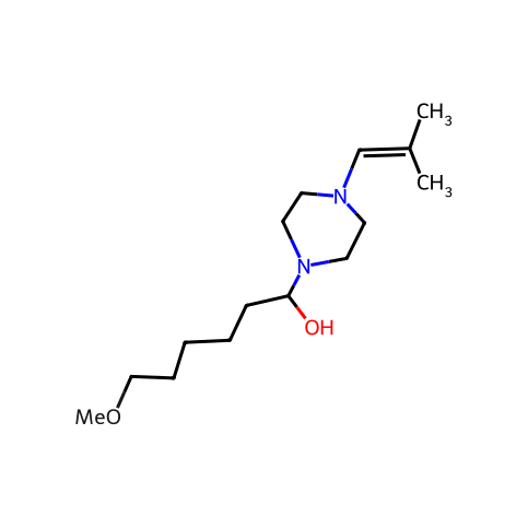 COCCCCCC(O)N1CCN(C=C(C)C)CC1